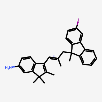 CC1=C(/C=C(\C)CC2(C)c3ccccc3-c3cc(I)ccc32)c2ccc(N)cc2C1(C)C